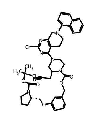 CC(C)(C)OC(=O)N1CCC[C@H]1COc1cccc(COC(=O)N2CCN(c3nc(Cl)nc4c3CCN(c3cccc5ccccc35)C4)CC2CC#N)c1